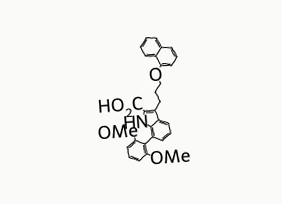 COc1cccc(OC)c1-c1cccc2c(CCCOc3cccc4ccccc34)c(C(=O)O)[nH]c12